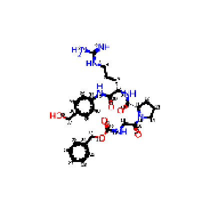 N=C(N)NCCC[C@H](NC(=O)[C@@H]1CCCN1C(=O)CNC(=O)OCc1ccccc1)C(=O)Nc1ccc(CO)cc1